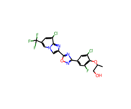 CC(CO)Oc1c(F)cc(-c2noc(-c3cn4cc(C(F)(F)F)cc(Cl)c4n3)n2)cc1Cl